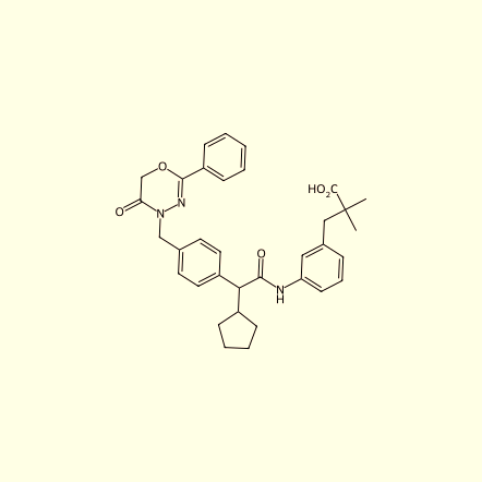 CC(C)(Cc1cccc(NC(=O)C(c2ccc(CN3N=C(c4ccccc4)OCC3=O)cc2)C2CCCC2)c1)C(=O)O